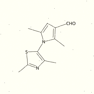 Cc1nc(C)c(-n2c(C)cc(C=O)c2C)s1